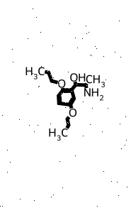 CCCOc1ccc(OCCC)c(C(O)C(C)N)c1